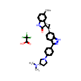 COc1ccc2c(c1)[C@]1(C[C@H]1c1ccc3c(-c4ccc(N5CC[C@H](N(C)C)C5)cc4)n[nH]c3c1)C(=O)N2.O=C(O)C(F)(F)F